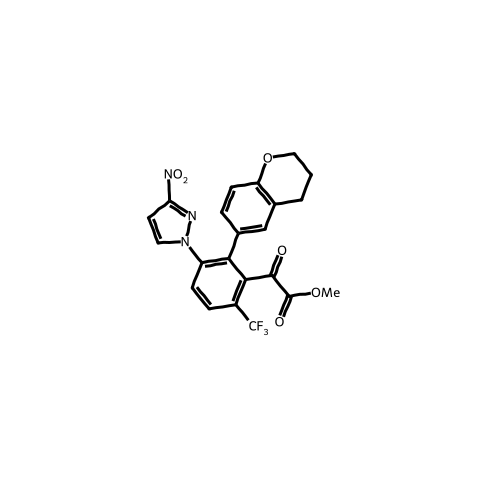 COC(=O)C(=O)c1c(C(F)(F)F)ccc(-n2ccc([N+](=O)[O-])n2)c1-c1ccc2c(c1)CCCO2